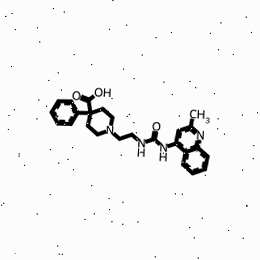 Cc1cc(NC(=O)NCCN2CCC(C(=O)O)(c3ccccc3)CC2)c2ccccc2n1